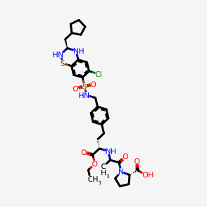 CCOC(=O)[C@H](CCc1ccc(CNS(=O)(=O)c2cc3c(cc2Cl)N[C@H](CC2CCCC2)NS3)cc1)NC(C)C(=O)N1CCC[C@H]1C(=O)O